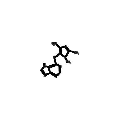 Cc1nc([N+](=O)[O-])c(Sc2ncnc3nc[nH]c23)n1C